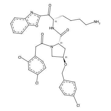 NCCCC[C@H](NC(=O)[C@@H]1C[C@@H](OCc2ccc(Cl)cc2)CN1C(=O)Cc1ccc(Cl)cc1Cl)C(=O)c1nc2ccccc2o1